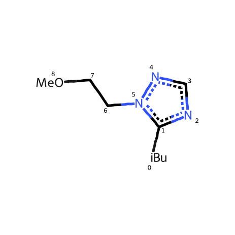 CCC(C)c1ncnn1CCOC